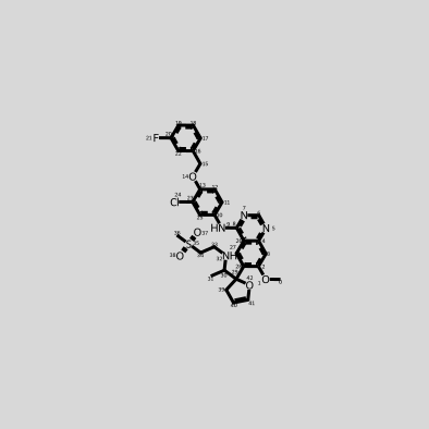 COc1cc2ncnc(Nc3ccc(OCc4cccc(F)c4)c(Cl)c3)c2cc1C1(C(C)NCCS(C)(=O)=O)CC=CO1